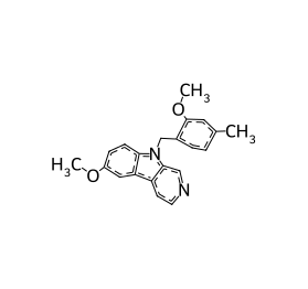 COc1ccc2c(c1)c1ccncc1n2Cc1ccc(C)cc1OC